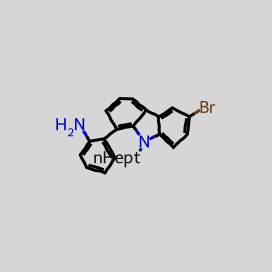 CCCCCCCn1c2ccc(Br)cc2c2cccc(-c3ccccc3N)c21